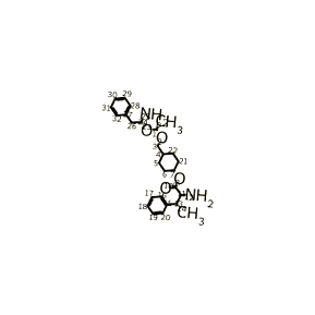 CC(OCC1CCC(OC(=O)C(N)C(C)c2ccccc2)CC1)OC(N)Cc1ccccc1